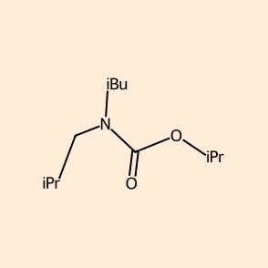 CCC(C)N(CC(C)C)C(=O)OC(C)C